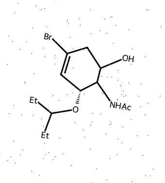 CCC(CC)O[C@@H]1C=C(Br)CC(O)C1NC(C)=O